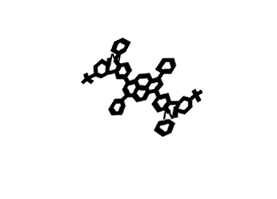 CC(C)(C)C1CCC2(C)C(C1)c1cc(-c3cc(-c4ccccc4)c4ccc5c(-c6ccc7c(c6)C6CC(C(C)(C)C)CCC6(C)N7c6ccccc6)cc(-c6ccccc6)c6ccc3c4c65)ccc1N2c1ccccc1